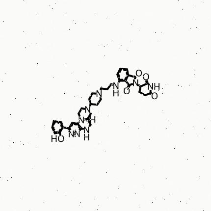 O=C1CCC(N2C(=O)c3cccc(NCCCN4CCC(N5CCN6c7cc(-c8ccccc8O)nnc7NC[C@H]6C5)CC4)c3C2=O)C(=O)N1